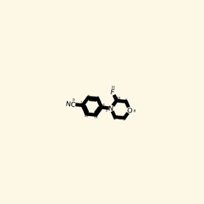 N#Cc1ccc(N2CCOCC2F)cc1